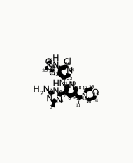 Cc1nc(N)nc(-c2cc([C@@H](C)N3CCOCC3)cnc2Nc2cnc(Cl)c(NS(C)(=O)=O)c2)n1